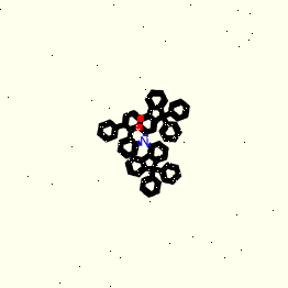 c1ccc(-c2ccccc2-c2ccccc2N(c2ccc3c(c2)C(c2ccccc2)(c2ccccc2)c2ccccc2-3)c2cccc3c2-c2ccccc2C3(c2ccccc2)c2ccccc2)cc1